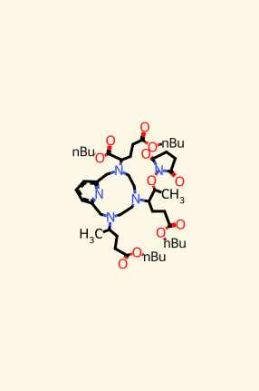 CCCCOC(=O)CCC(C)N1CCN(C(CCC(=O)OCCCC)C(C)ON2C(=O)CCC2=O)CCN(C(CCC(=O)OCCCC)C(=O)OCCCC)Cc2cccc(n2)C1